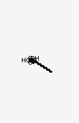 CCCCCCCCCCCCOC(O)(CC)S(=O)(=O)O